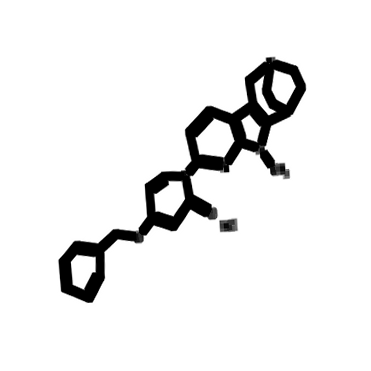 Cl.Cn1c2c(c3ccc(-n4ccc(OCc5ccccc5)cc4=O)nc31)CN1CCC2CC1